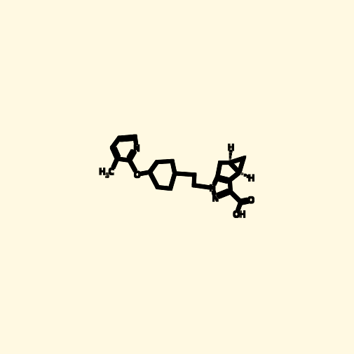 Cc1cccnc1OC1CCC(CCn2nc(C(=O)O)c3c2C[C@H]2C[C@@H]32)CC1